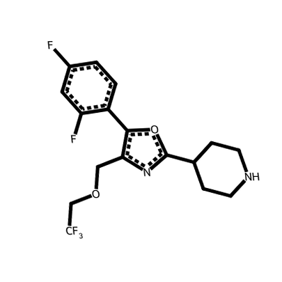 Fc1ccc(-c2oc(C3CCNCC3)nc2COCC(F)(F)F)c(F)c1